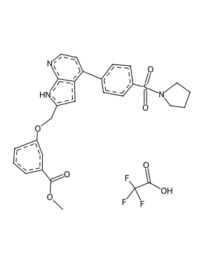 COC(=O)c1cccc(OCc2cc3c(-c4ccc(S(=O)(=O)N5CCCC5)cc4)ccnc3[nH]2)c1.O=C(O)C(F)(F)F